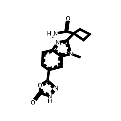 Cn1c(C2(C(N)=O)CCC2)nc2ccc(-c3n[nH]c(=O)o3)cc21